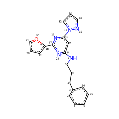 c1ccc(CCCNc2cc(-n3cccn3)nc(-c3ccco3)n2)cc1